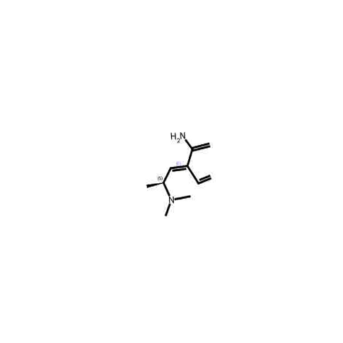 C=C/C(=C\[C@H](C)N(C)C)C(=C)N